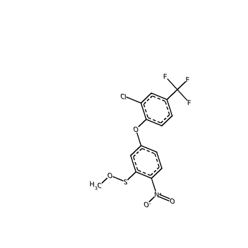 COSc1cc(Oc2ccc(C(F)(F)F)cc2Cl)ccc1[N+](=O)[O-]